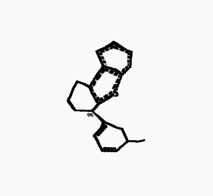 CC1C=CC=C([C@H]2CCCc3c2sc2ccccc32)C1